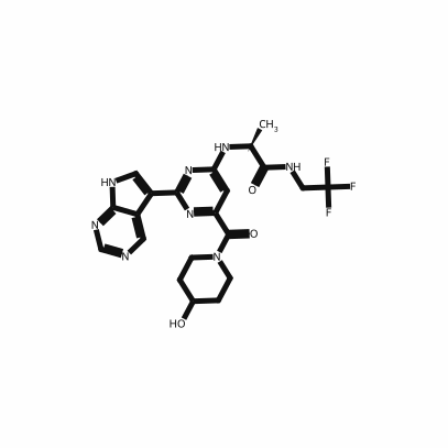 C[C@H](Nc1cc(C(=O)N2CCC(O)CC2)nc(-c2c[nH]c3ncncc23)n1)C(=O)NCC(F)(F)F